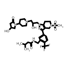 CC(C)CC(=O)NCc1cc(-c2nn(CC(O)CN3CCC(N4CC(O)CC4=O)CC3)c3c2CN(S(C)(=O)=O)CC3)ccc1C(F)(F)F